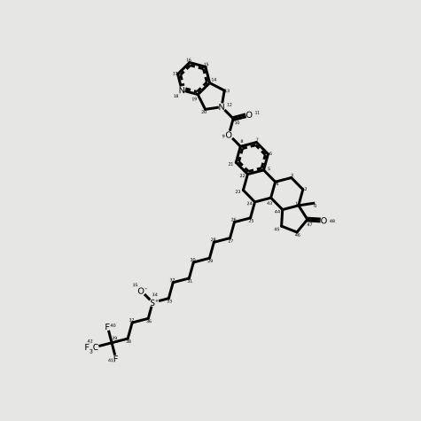 CC12CCC3c4ccc(OC(=O)N5Cc6cccnc6C5)cc4CC(CCCCCCCCC[S+]([O-])CCCC(F)(F)C(F)(F)F)C3C1CCC2=O